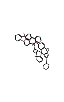 CC12CC=CC=C1C1(c3cc(C4CCCCC4)ccc3Oc3ccc(C4CCCCC4)cc31)c1cc(N(c3ccc4c(c3)C(C)(C)c3ccccc3-4)c3ccccc3-c3ccccc3)ccc12